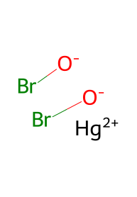 [Hg+2].[O-]Br.[O-]Br